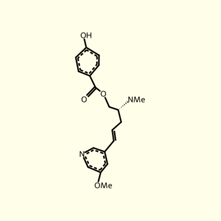 CN[C@H](C/C=C/c1cncc(OC)c1)COC(=O)c1ccc(O)cc1